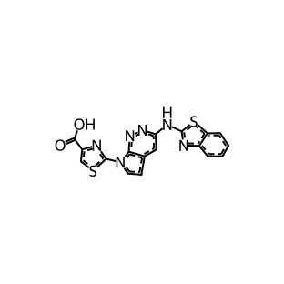 O=C(O)c1csc(-n2ccc3cc(Nc4nc5ccccc5s4)nnc32)n1